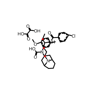 CCC(CCCN1C2CCCC1CC(N(C(=O)O)c1cc(C)ccc1OC)C2)NC(=O)c1ccc(Cl)cc1.O=C(O)C(=O)O